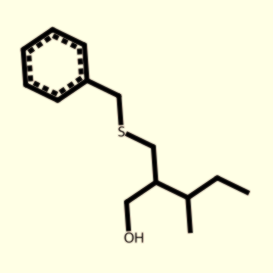 CCC(C)C(CO)CSCc1ccccc1